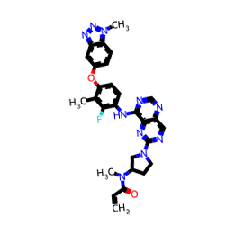 C=CC(=O)N(C)C1CCN(c2ncc3ncnc(Nc4ccc(Oc5ccc6c(c5)nnn6C)c(C)c4F)c3n2)C1